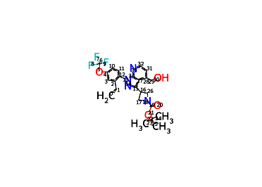 C=Cc1cc(OC(F)(F)F)ccc1-n1nc(C2CN(C(=O)OC(C)(C)C)C2)c2c(CO)ccnc21